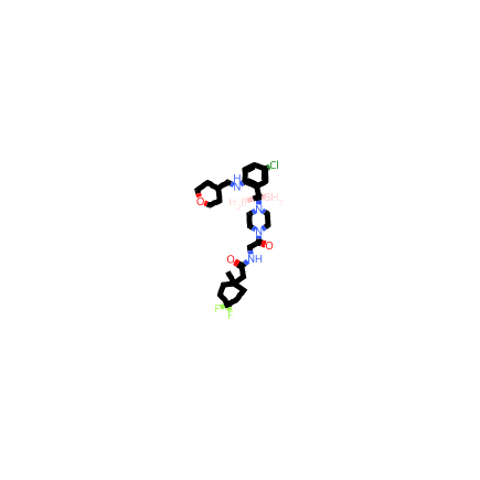 BC(B)(c1cc(Cl)ccc1NCC1CCOCC1)N1CCN(C(=O)CNC(=O)CC2(C)CCC(F)(F)CC2)CC1